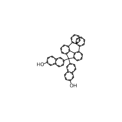 Oc1ccc2cc(C3(c4ccc5cc(O)ccc5c4)c4cccc(-c5ccccc5)c4-c4c(-c5ccccc5)cccc43)ccc2c1